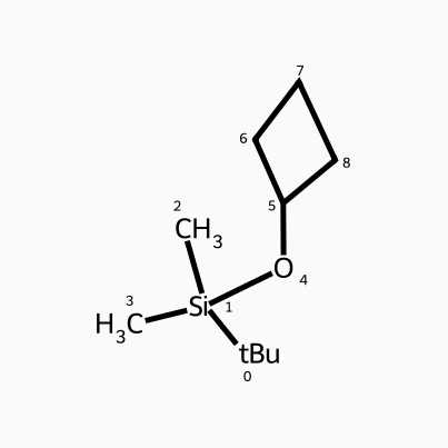 CC(C)(C)[Si](C)(C)OC1CCC1